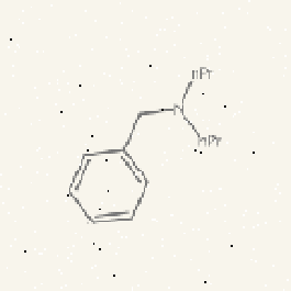 CCCN(CCC)Cc1cc[c]cc1